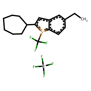 CCc1ccc2c(c1)cc(C1CCCCCC1)[s+]2C(F)(F)F.F[B-](F)(F)F